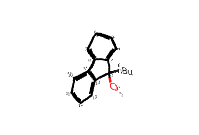 CCCCC1([O])c2ccccc2-c2ccccc21